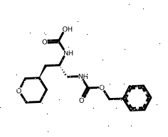 O=C(O)N[C@H](CNC(=O)OCc1ccccc1)C[C@H]1CCCOC1